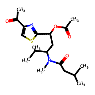 CC(=O)OC(CC(C(C)C)N(C)C(=O)CC(C)C)c1nc(C(C)=O)cs1